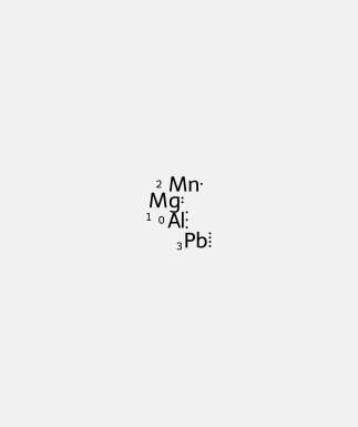 [Al].[Mg].[Mn].[Pb]